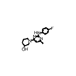 Cc1cc(N2CCCC(O)C2)nc(Nc2ccc(F)cc2)n1